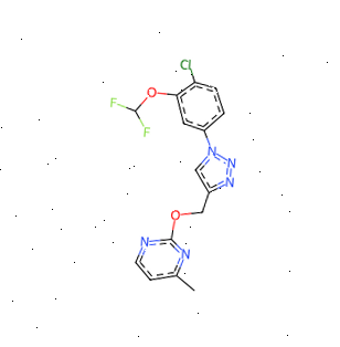 Cc1ccnc(OCc2cn(-c3ccc(Cl)c(OC(F)F)c3)nn2)n1